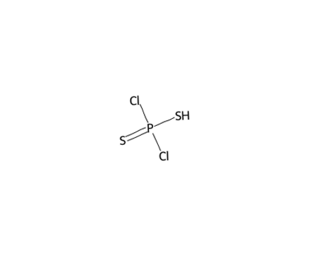 S=P(S)(Cl)Cl